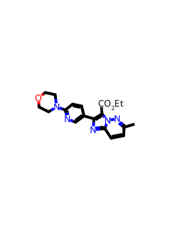 CCOC(=O)c1c(-c2ccc(N3CCOCC3)nc2)nc2ccc(C)nn12